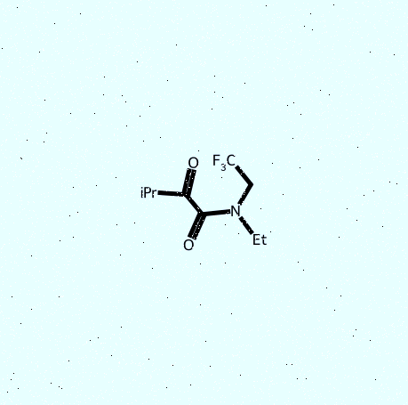 CCN(CC(F)(F)F)C(=O)C(=O)C(C)C